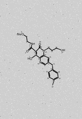 COCCNC(=O)c1c(O)c2ncc(Cc3ccc(F)cc3)cc2n(CCCO)c1=O